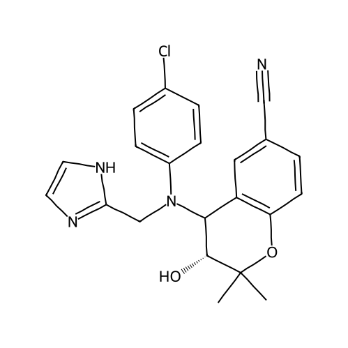 CC1(C)Oc2ccc(C#N)cc2C(N(Cc2ncc[nH]2)c2ccc(Cl)cc2)[C@H]1O